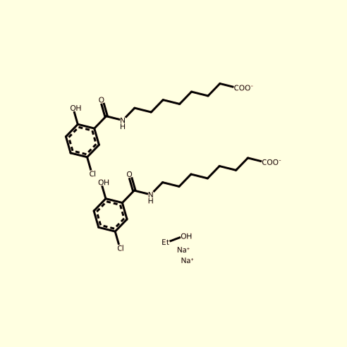 CCO.O=C([O-])CCCCCCCNC(=O)c1cc(Cl)ccc1O.O=C([O-])CCCCCCCNC(=O)c1cc(Cl)ccc1O.[Na+].[Na+]